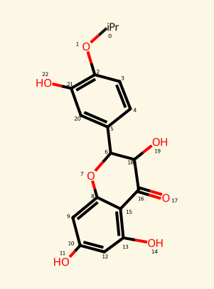 CC(C)Oc1ccc(C2Oc3cc(O)cc(O)c3C(=O)C2O)cc1O